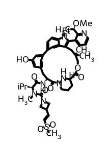 CCn1c(-c2cccnc2[C@H](C)OC)c2c3cc(ccc31)-c1cc(O)cc(c1)C[C@H](NC(=O)[C@H](C(C)C)N(C)C(=O)N1CC(/C=C/S(C)(=O)=O)C1)C(=O)N1CCC[C@H](N1)C(=O)OCC(C)(C)C2